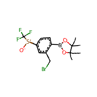 CC1(C)OB(c2ccc([S+]([O-])C(F)(F)F)cc2CBr)OC1(C)C